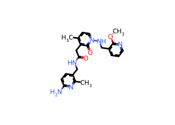 COc1ncccc1CNn1ccc(C)c(CC(=O)NCc2ccc(N)nc2C)c1=O